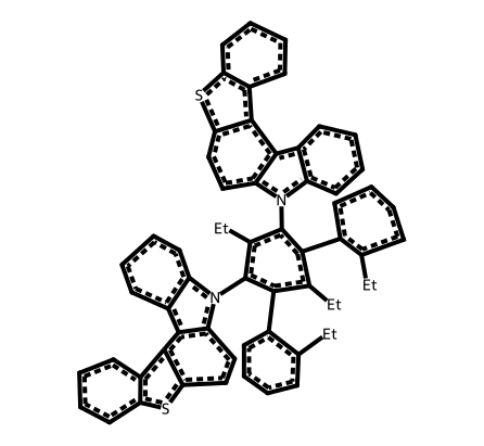 CCc1ccccc1-c1c(CC)c(-c2ccccc2CC)c(-n2c3ccccc3c3c4c(ccc32)sc2ccccc24)c(CC)c1-n1c2ccccc2c2c3c(ccc21)sc1ccccc13